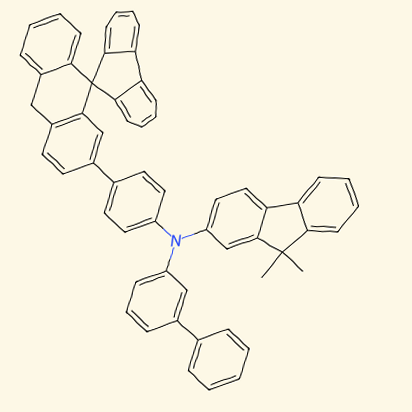 CC1(C)c2ccccc2-c2ccc(N(c3ccc(-c4ccc5c(c4)C4(c6ccccc6C5)c5ccccc5-c5ccccc54)cc3)c3cccc(-c4ccccc4)c3)cc21